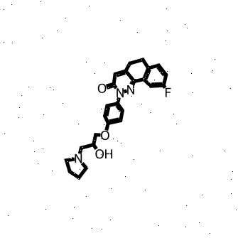 O=c1cc2c(nn1-c1ccc(OCC(O)CN3CCCC3)cc1)-c1cc(F)ccc1CC2